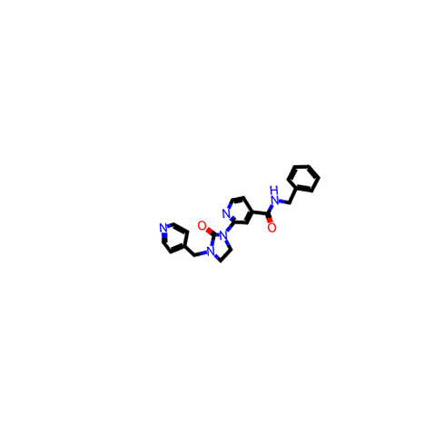 O=C(NCc1ccccc1)c1ccnc(N2CCN(Cc3ccncc3)C2=O)c1